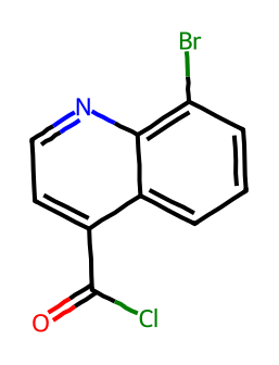 O=C(Cl)c1ccnc2c(Br)cccc12